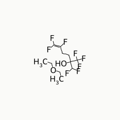 CCOCC.OC(CCC(F)=C(F)F)(C(F)F)C(F)(F)F